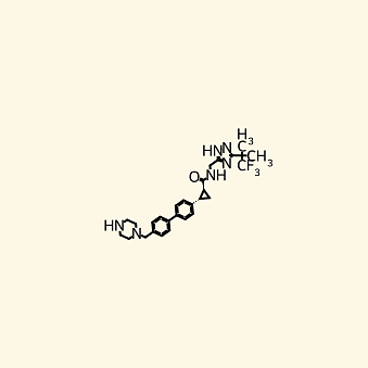 CC(C)(c1n[nH]c(CNC(=O)[C@H]2C[C@@H]2c2ccc(-c3ccc(CN4CCNCC4)cc3)cc2)n1)C(F)(F)F